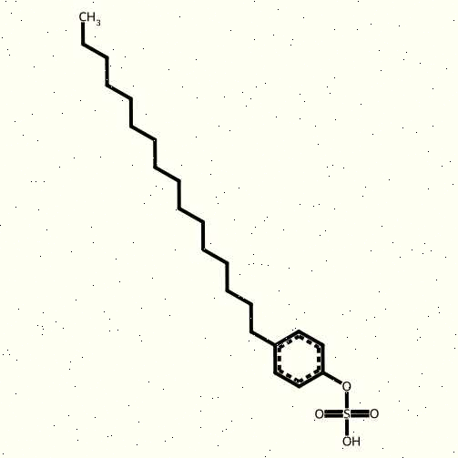 CCCCCCCCCCCCCCCCc1ccc(OS(=O)(=O)O)cc1